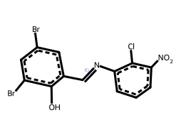 O=[N+]([O-])c1cccc(/N=C/c2cc(Br)cc(Br)c2O)c1Cl